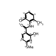 CSc1ncc(C(=O)Nc2c(C)cccc2Cl)c(O)n1